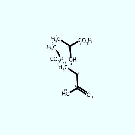 CC(=O)O.CC(O)C(=O)O.CCC(=O)O